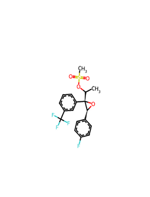 CC(OS(C)(=O)=O)[C@@]1(c2cccc(C(F)(F)F)c2)O[C@H]1c1ccc(F)cc1